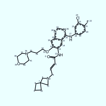 O=C(C=CCN1CC2(CCC2)C1)Nc1cc2c(Nc3ccc(F)c(Cl)c3)ncnc2cc1OCCCN1CCOCC1